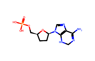 NC1=NCNc2c1ncn2[C@H]1CC[C@@H](COP(=O)(O)O)O1